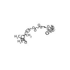 C=C[C@]1(C)CC[C@@H](C(=C)CN2CCN(CCOC(=O)CCC(=O)OCC#CCOc3no[n+]([O-])c3S(=O)(=O)c3ccccc3)CC2)C[C@H]1C(=C)CCl